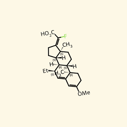 CC[C@@H]1C=C2C=C(OC)CC[C@]2(C)[C@H]2CC[C@]3(C)C(=C(F)C(=O)O)CC[C@H]3[C@H]12